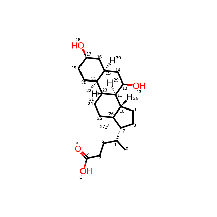 CC(CCC(=O)O)[C@H]1CC[C@H]2[C@@H]3[C@H](O)C[C@@H]4C[C@H](O)CC[C@]4(C)[C@H]3CC[C@]12C